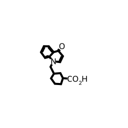 O=C(O)C1CCCC(Cn2ccc(=O)c3ccccc32)C1